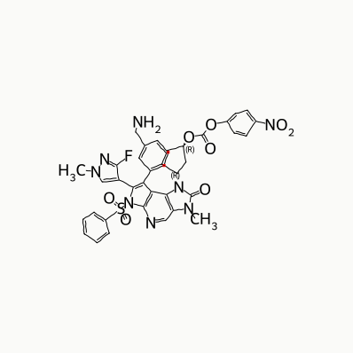 Cn1cc(-c2c(-c3cccc(CN)c3)c3c(ncc4c3n([C@@H]3CC[C@@H](OC(=O)Oc5ccc([N+](=O)[O-])cc5)C3)c(=O)n4C)n2S(=O)(=O)c2ccccc2)c(F)n1